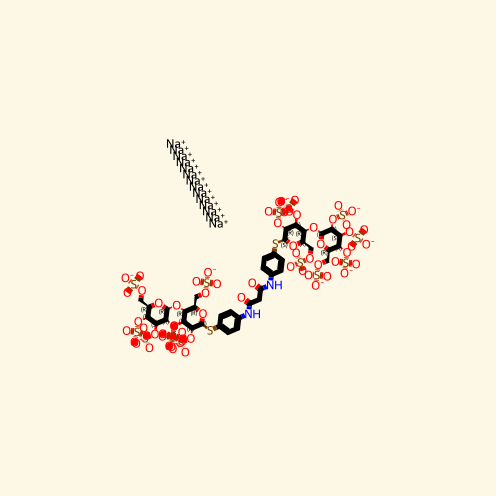 O=C(CC(=O)Nc1ccc(S[C@@H]2O[C@H](COS(=O)(=O)[O-])[C@@H](O[C@H]3O[C@H](COS(=O)(=O)[O-])[C@@H](OS(=O)(=O)[O-])[C@H](OS(=O)(=O)[O-])[C@H]3OS(=O)(=O)[O-])[C@H](OS(=O)(=O)[O-])[C@H]2OS(=O)(=O)[O-])cc1)Nc1ccc(S[C@@H]2O[C@H](COS(=O)(=O)[O-])[C@@H](O[C@H]3O[C@H](COS(=O)(=O)[O-])[C@@H](OS(=O)(=O)[O-])[C@H](OS(=O)(=O)[O-])[C@H]3OS(=O)(=O)[O-])[C@H](OS(=O)(=O)[O-])[C@H]2OS(=O)(=O)[O-])cc1.[Na+].[Na+].[Na+].[Na+].[Na+].[Na+].[Na+].[Na+].[Na+].[Na+].[Na+].[Na+].[Na+].[Na+]